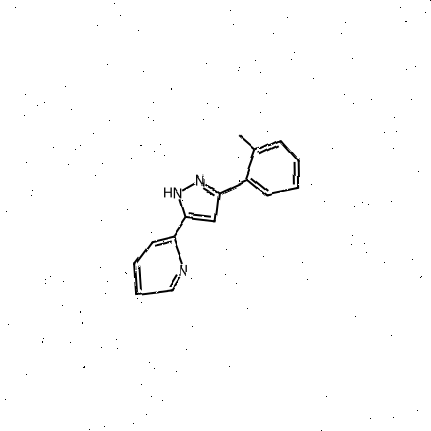 Cc1ccccc1-c1cc(-c2ccccn2)[nH]n1